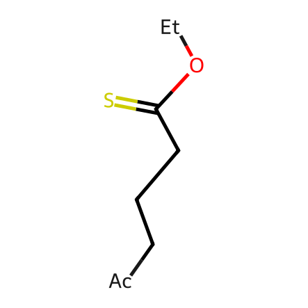 CCOC(=S)CCCC(C)=O